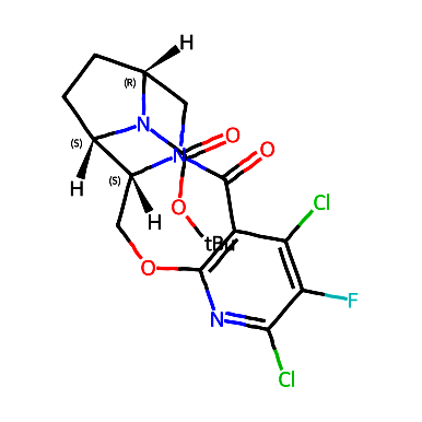 CC(C)(C)OC(=O)N1[C@@H]2CC[C@H]1[C@H]1COc3nc(Cl)c(F)c(Cl)c3C(=O)N1C2